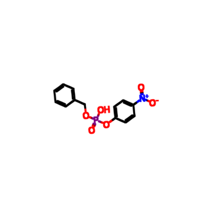 O=[N+]([O-])c1ccc(OP(=O)(O)OCc2ccccc2)cc1